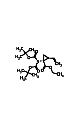 C=C[C@@H]1C[C@@]1(C(=O)OCC)N(C(=O)OC(C)(C)C)C(=O)OC(C)(C)C